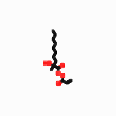 C=CC(=O)OOC(=O)C(C)(O)CCCCCCCC